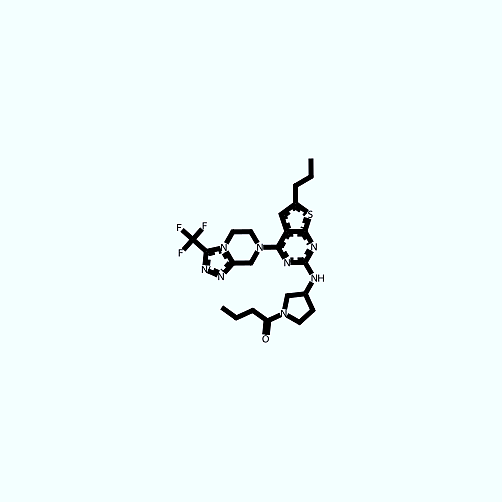 CCCC(=O)N1CCC(Nc2nc(N3CCn4c(nnc4C(F)(F)F)C3)c3cc(CCC)sc3n2)C1